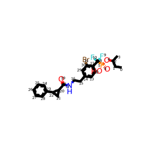 CCC(C)OP(=O)(O)C(F)(F)c1ccc(CCNC(=O)C2CC2c2ccccc2)cc1Br